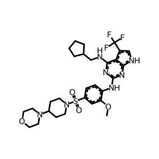 COc1cc(S(=O)(=O)N2CCC(N3CCOCC3)CC2)ccc1Nc1nc(NCC2CCCC2)c2c(C(F)(F)F)c[nH]c2n1